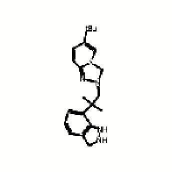 CC(C)(C)C1=CN2CN(CC(C)(C)c3cccc4c3NNC4)N=C2C=C1